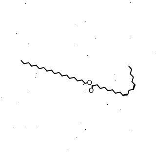 CCCCC/C=C\C/C=C\CCCCCCCC(=O)OCCCCCCCCCCCCCCCCCC